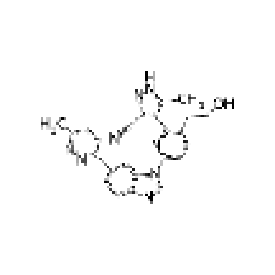 Cc1ccc(-c2ccc3ncn(-c4ccc(CCO)c(-c5c(C#N)n[nH]c5C)n4)c3c2)nn1